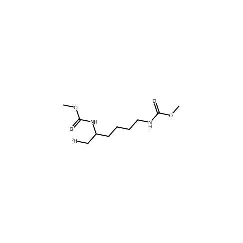 [2H]CC(CCCCNC(=O)OC)NC(=O)OC